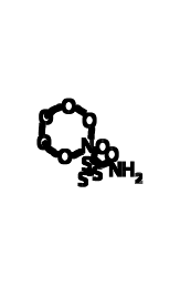 NC(=O)c1sc(=S)sc1C(=O)N1CCOCCOCCOCCOCCOCC1